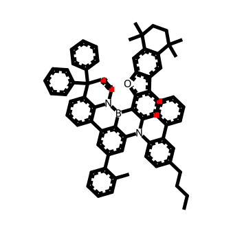 CCCCc1ccc(N2c3cc(-c4ccccc4C)cc4c3B(c3c2ccc2c3oc3cc5c(cc32)C(C)(C)CCC5(C)C)N2c3ccccc3C(c3ccccc3)(c3ccccc3)c3cccc-4c32)c(-c2ccccc2)c1